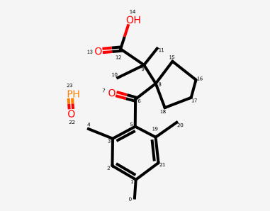 Cc1cc(C)c(C(=O)C2(C(C)(C)C(=O)O)CCCC2)c(C)c1.O=P